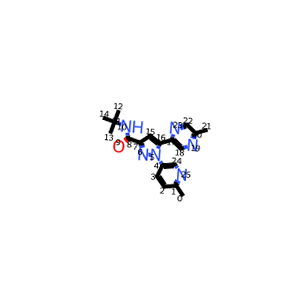 Cc1ccc(-n2nc(C(=O)NC(C)(C)C)cc2-c2cnc(C)cn2)cn1